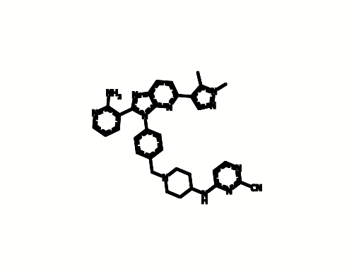 Cc1c(-c2ccc3nc(-c4cccnc4N)n(-c4ccc(CN5CCC(Nc6ccnc(C#N)n6)CC5)cc4)c3n2)cnn1C